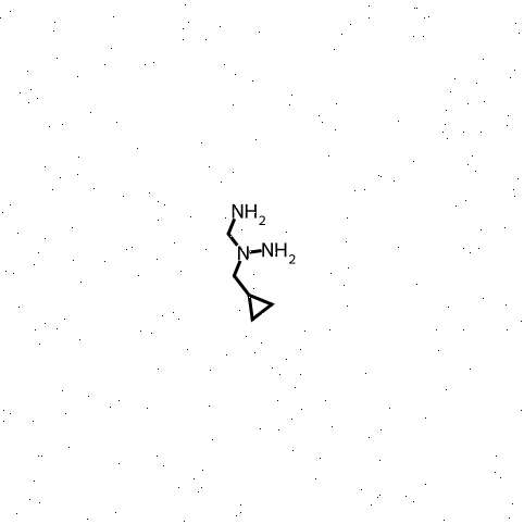 NCN(N)CC1CC1